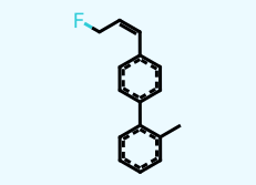 Cc1ccccc1-c1ccc(/C=C\CF)cc1